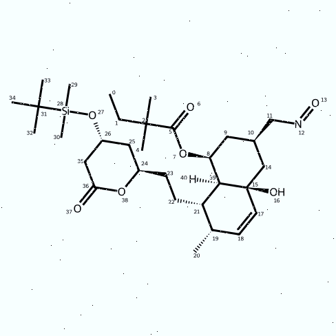 CCC(C)(C)C(=O)O[C@H]1C[C@@H](CN=O)C[C@]2(O)C=C[C@H](C)[C@H](CC[C@@H]3C[C@@H](O[Si](C)(C)C(C)(C)C)CC(=O)O3)[C@@H]12